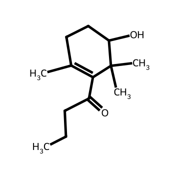 CCCC(=O)C1=C(C)CCC(O)C1(C)C